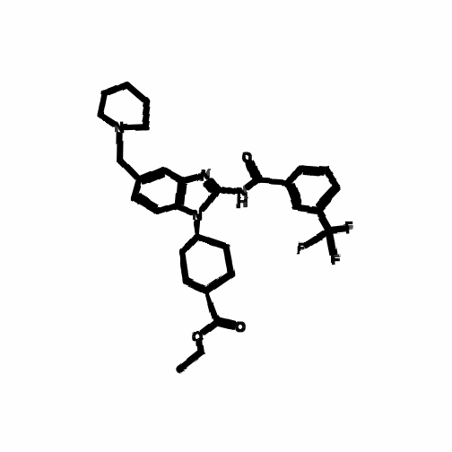 CCOC(=O)[C@H]1CC[C@@H](n2c(NC(=O)c3cccc(C(F)(F)F)c3)nc3cc(CN4CCCCC4)ccc32)CC1